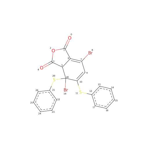 O=C1OC(=O)C2C1=C(Br)C=C(Sc1ccccc1)C2(Br)Sc1ccccc1